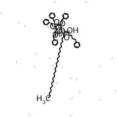 CCCCCCCCCCCCCCCCCCCCCCCCCC(=O)N[C@@H](C[C@H]1O[C@H](COCc2ccccc2)[C@H](OCc2ccccc2)[C@H](OCc2ccccc2)[C@H]1OCc1ccccc1)[C@H](O)/C=C/CCc1ccccc1